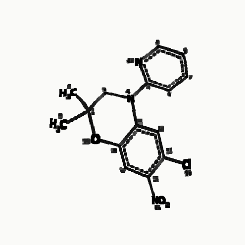 CC1(C)CN(c2ccccn2)c2cc(Cl)c([N+](=O)[O-])cc2O1